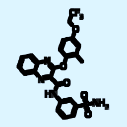 Cc1cc(OCC(F)(F)F)ccc1Oc1nc2ccccc2nc1C(=O)Nc1cccc(S(N)(=O)=O)c1